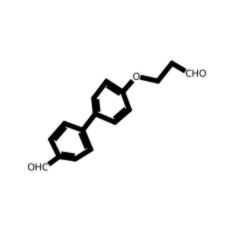 O=CCCOc1ccc(-c2ccc(C=O)cc2)cc1